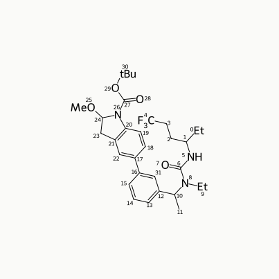 CCC(CCC(F)(F)F)NC(=O)N(CC)C(C)c1cccc(-c2ccc3c(c2)CC(OC)N3C(=O)OC(C)(C)C)c1